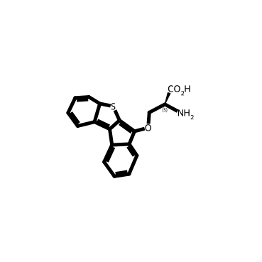 N[C@@H](COC1=C2SC3C=CC=CC3=C2c2ccccc21)C(=O)O